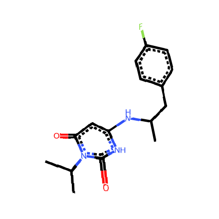 CC(Cc1ccc(F)cc1)Nc1cc(=O)n(C(C)C)c(=O)[nH]1